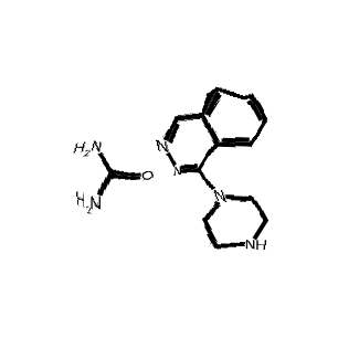 NC(N)=O.c1ccc2c(N3CCNCC3)nncc2c1